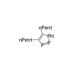 CCCCCc1pp[pH]c1CCCCC